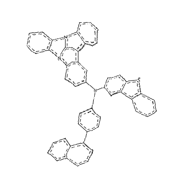 c1ccc2c(-c3ccc(N(c4ccc5sc6ccccc6c5c4)c4ccc5c(c4)c4c6ccccc6n6c7ccccc7n5c46)cc3)cccc2c1